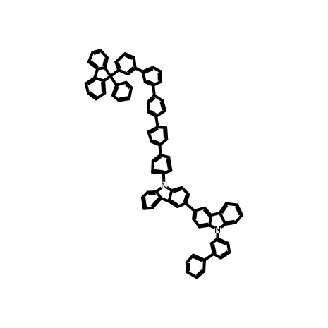 c1ccc(-c2cccc(-n3c4ccccc4c4cc(-c5ccc6c(c5)c5ccccc5n6-c5ccc(-c6ccc(-c7ccc(-c8cccc(-c9cccc(C%10(c%11ccccc%11)c%11ccccc%11-c%11ccccc%11%10)c9)c8)cc7)cc6)cc5)ccc43)c2)cc1